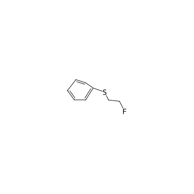 FCCSc1ccccc1